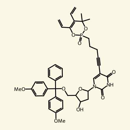 C=CC1=C(C=C)C(C)(C)OP(=O)(CCCC#Cc2cn(C3CC(O)C(COC(c4ccccc4)(c4ccc(OC)cc4)c4ccc(OC)cc4)O3)c(=O)[nH]c2=O)O1